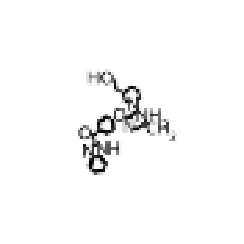 C=C/C=N\C(Oc1ccc(C(=O)c2nc3ccccc3[nH]2)cc1)=C(/N)N1CCC[C@H](CCO)C1